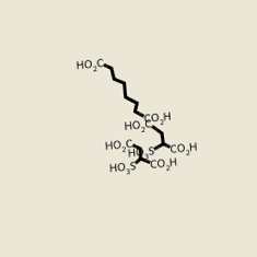 O=C(O)CC(C(=O)O)S(=O)(=O)O.O=C(O)CC(C(=O)O)S(=O)(=O)O.O=C(O)CCCCCCC(=O)O